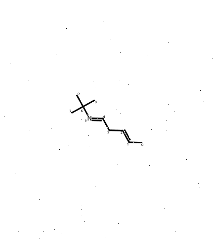 CC=CCC=NC(C)(C)C